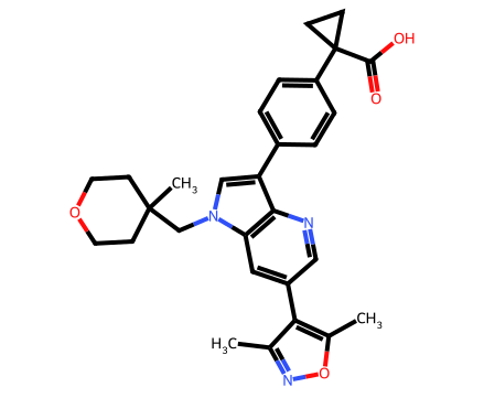 Cc1noc(C)c1-c1cnc2c(-c3ccc(C4(C(=O)O)CC4)cc3)cn(CC3(C)CCOCC3)c2c1